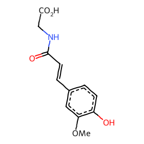 COc1cc(C=CC(=O)NCC(=O)O)ccc1O